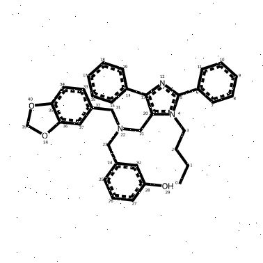 CCCCn1c(-c2ccccc2)nc(-c2ccccc2)c1CN(Cc1cccc(O)c1)Cc1ccc2c(c1)OCO2